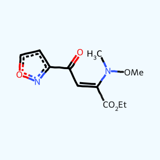 CCOC(=O)C(=CC(=O)c1ccon1)N(C)OC